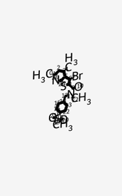 Cc1cc(C)c2c(Br)c(C(=O)N(C)Cc3ccc(S(C)(=O)=O)cc3)sc2n1